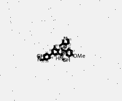 COc1ccc(S(=O)(=O)N(Cc2cccnc2)c2c(C)cc(-c3ccc(/C=N\O)cc3)cc2C(=O)NO)cc1